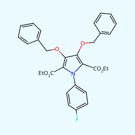 CCOC(=O)c1c(OCc2ccccc2)c(OCc2ccccc2)c(C(=O)OCC)n1-c1ccc(F)cc1